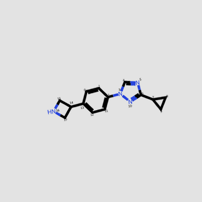 c1cc(-n2cnc(C3CC3)n2)ccc1C1CNC1